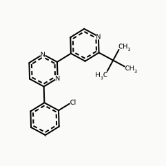 CC(C)(C)c1cc(-c2nccc(-c3cc[c]cc3Cl)n2)ccn1